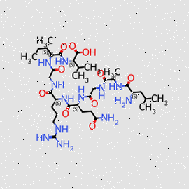 CC[C@H](C)[C@H](NC(=O)CNC(=O)[C@H](CCCNC(=N)N)NC(=O)[C@H](CCC(N)=O)NC(=O)CNC(=O)[C@H](C)NC(=O)[C@@H](N)CC(C)C)C(=O)N[C@H](C(=O)O)C(C)C